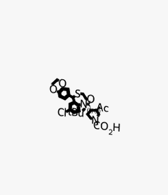 CC(=O)[C@H]1CN(C(=O)O)CC[C@@H]1C[N+]1(CC(C)(C)C)C(=O)CSC(c2ccc3c(c2)OCCO3)c2cc(Cl)ccc21